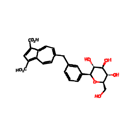 O=C(O)c1cc(C(=O)O)c2ccc(Cc3cccc([C@@H]4O[C@H](CO)[C@@H](O)[C@H](O)[C@H]4O)c3)ccc1-2